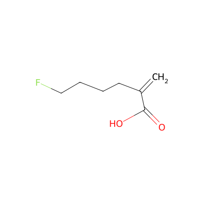 C=C(CCCCF)C(=O)O